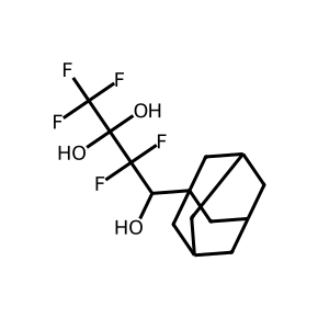 OC(C12CC3CC(CC(C3)C1)C2)C(F)(F)C(O)(O)C(F)(F)F